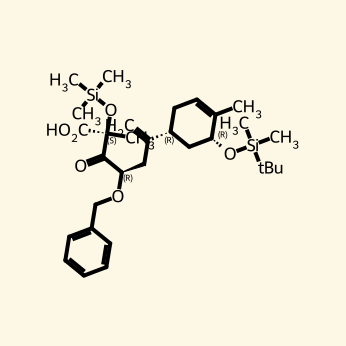 C=C(C[C@@H](OCc1ccccc1)C(=O)[C@](C)(O[Si](C)(C)C)C(=O)O)[C@@H]1CC=C(C)[C@H](O[Si](C)(C)C(C)(C)C)C1